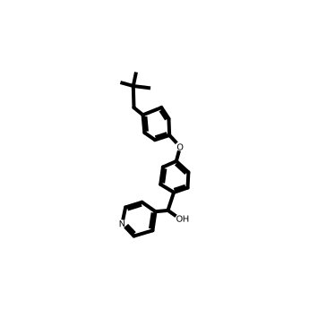 CC(C)(C)Cc1ccc(Oc2ccc(C(O)c3ccncc3)cc2)cc1